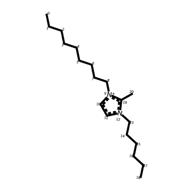 CCCCCCCCC[n+]1ccn(CCCCCC)c1C